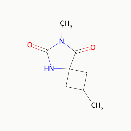 CC1CC2(C1)NC(=O)N(C)C2=O